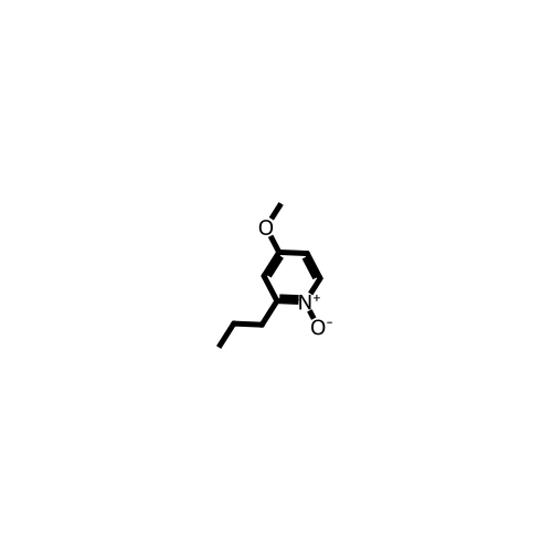 CCCc1cc(OC)cc[n+]1[O-]